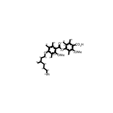 COc1c(C)c(OC(=O)c2c(C)c(C)c(OCCC(C)CCCC(C)C)c(C)c2OC)c(C)c(C)c1C(=O)O